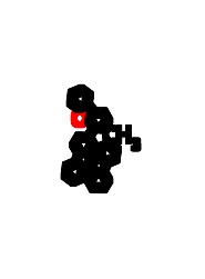 Cc1ccc2c(c1)C1(c3ccccc3-2)c2ccccc2-c2ccc(-c3cccc4c3oc3ccccc34)cc21